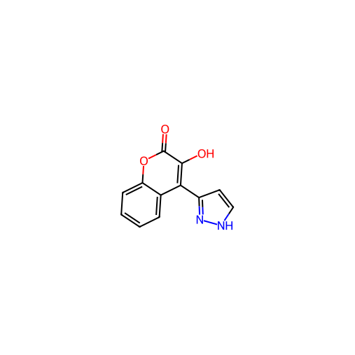 O=c1oc2ccccc2c(-c2cc[nH]n2)c1O